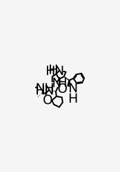 CN[C@@H](C)C(=O)N[C@H](C(=O)N1CC[C@H]2NC[C@@H](c3c[nH]c4ccccc34)[C@H]21)C1CCCCC1